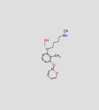 Cc1c(O[C@@H]2C=CC=CO2)cccc1[C@H](CO)CCCCNC#N